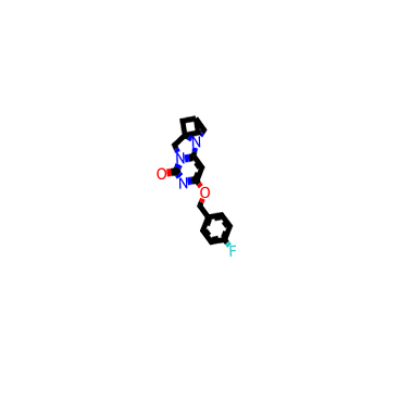 O=c1nc(OCc2ccc(F)cc2)cc2n1CC13CC(CN21)C3